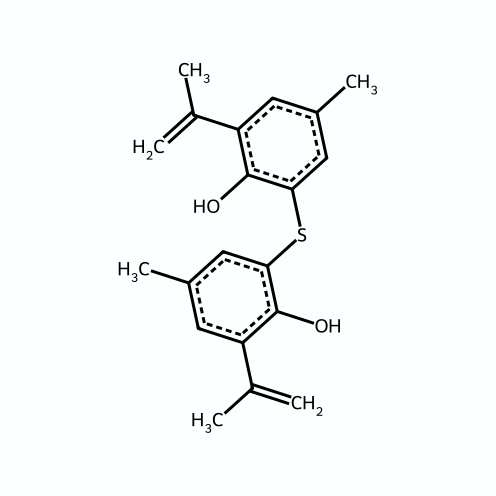 C=C(C)c1cc(C)cc(Sc2cc(C)cc(C(=C)C)c2O)c1O